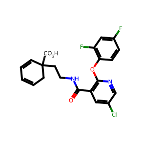 O=C(NCCC1(C(=O)O)C=CC=CC1)c1cc(Cl)cnc1Oc1ccc(F)cc1F